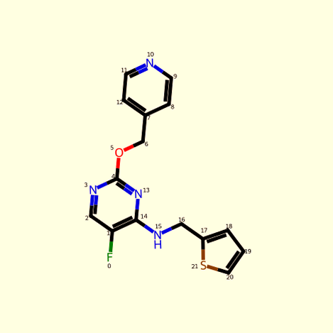 Fc1cnc(OCc2ccncc2)nc1NCc1cccs1